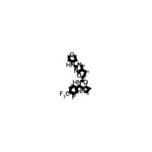 O=C(N[C@@H](c1ccc(C(F)(F)F)c(F)c1)[C@@H]1CCCN1)[C@H]1CCc2cnc(NC3CCOCC3)nc2O1